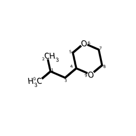 CC(C)CC1COCCO1